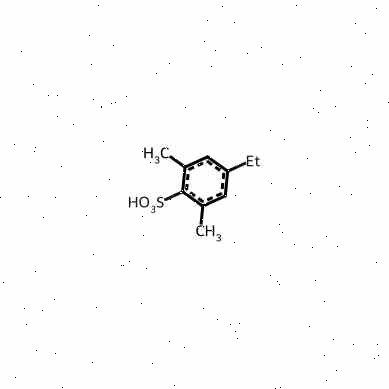 CCc1cc(C)c(S(=O)(=O)O)c(C)c1